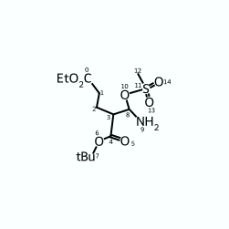 CCOC(=O)CCC(C(=O)OC(C)(C)C)C(N)OS(C)(=O)=O